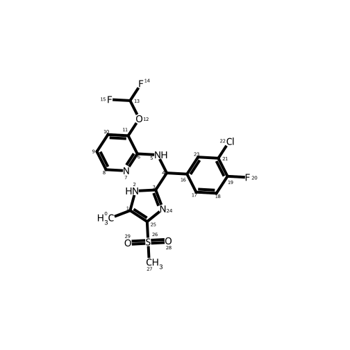 Cc1[nH]c(C(Nc2ncccc2OC(F)F)c2ccc(F)c(Cl)c2)nc1S(C)(=O)=O